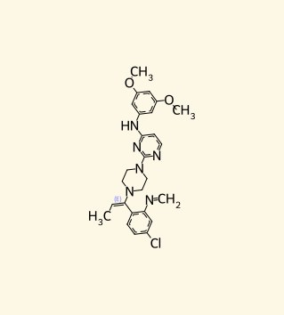 C=Nc1cc(Cl)ccc1/C(=C\C)N1CCN(c2nccc(Nc3cc(OC)cc(OC)c3)n2)CC1